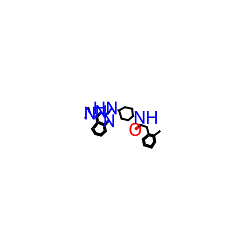 Cc1ccccc1CC(=O)N[C@H]1CC[C@@H](Nc2nc(N(C)C)c3ccccc3n2)CC1